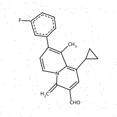 C=C1C(C=O)=CC(C2CC2)=C2C(C)=C(c3cccc(F)c3)C=CN12